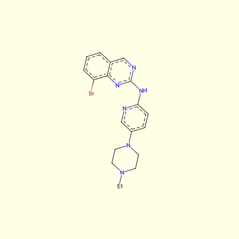 CCN1CCN(c2ccc(Nc3ncc4cccc(Br)c4n3)nc2)CC1